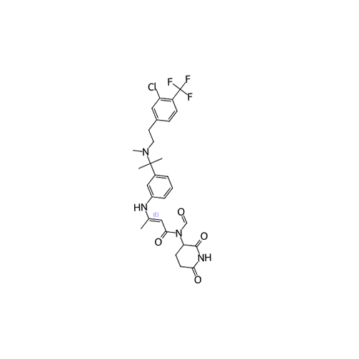 C/C(=C\C(=O)N(C=O)C1CCC(=O)NC1=O)Nc1cccc(C(C)(C)N(C)CCc2ccc(C(F)(F)F)c(Cl)c2)c1